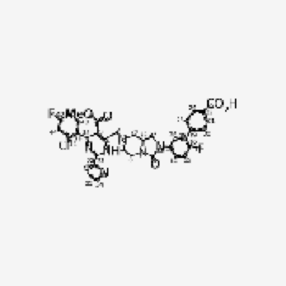 COC(=O)C1=C(CN2CCN3C(=O)N(c4ccc(F)c(-c5ccc(C(=O)O)cc5)c4)CC3C2)NC(c2nccs2)=NC1c1ccc(F)cc1Cl